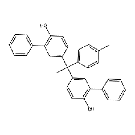 Cc1ccc(C(C)(c2ccc(O)c(-c3ccccc3)c2)c2ccc(O)c(-c3ccccc3)c2)cc1